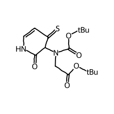 CC(C)(C)OC(=O)CN(C(=O)OC(C)(C)C)C1C(=O)NC=CC1=S